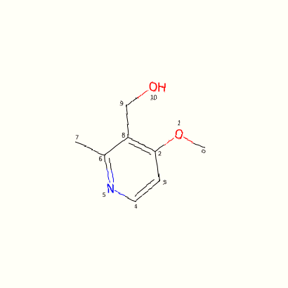 COc1ccnc(C)c1CO